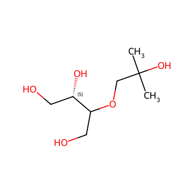 CC(C)(O)COC(CO)[C@@H](O)CO